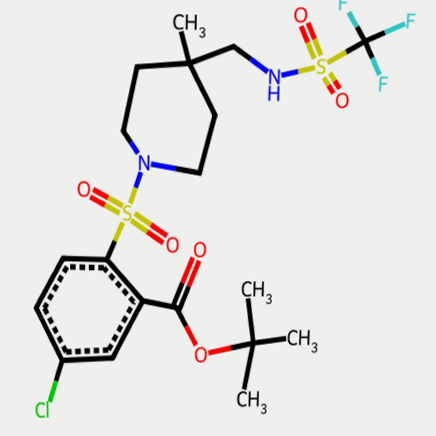 CC1(CNS(=O)(=O)C(F)(F)F)CCN(S(=O)(=O)c2ccc(Cl)cc2C(=O)OC(C)(C)C)CC1